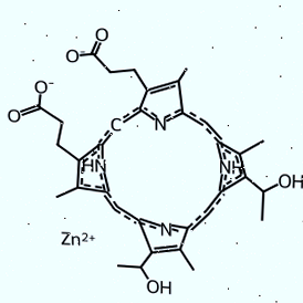 CC1=C(CCC(=O)[O-])c2cc3[nH]c(cc4nc(cc5[nH]c(cc1n2)c(C)c5C(C)O)C(C)=C4C(C)O)c(C)c3CCC(=O)[O-].[Zn+2]